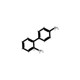 Bc1ccc(-c2ccccc2N)cc1